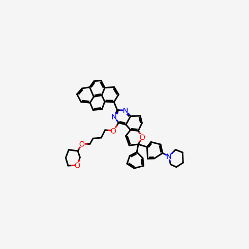 C1=CC(c2ccccc2)(c2ccc(N3CCCCC3)cc2)Oc2ccc3nc(-c4ccc5ccc6cccc7ccc4c5c67)nc(OCCCCOC4CCCOC4)c3c21